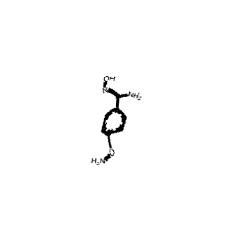 NOc1ccc(/C(N)=N/O)cc1